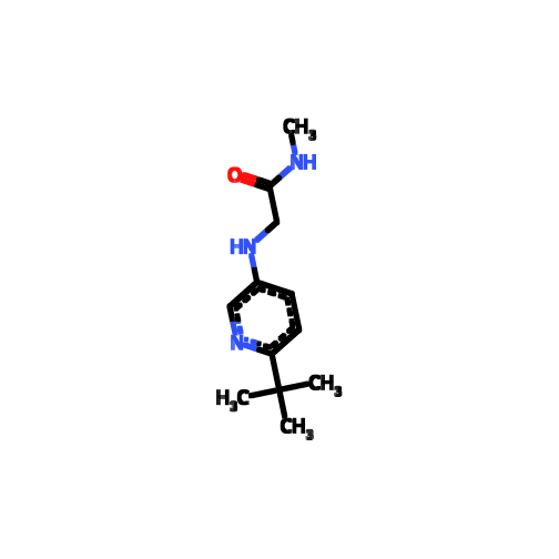 CNC(=O)CNc1ccc(C(C)(C)C)nc1